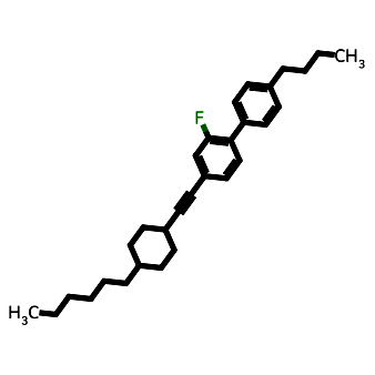 CCCCCCC1CCC(C#Cc2ccc(-c3ccc(CCCC)cc3)c(F)c2)CC1